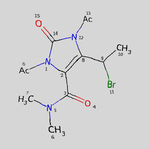 CC(=O)n1c(C(=O)N(C)C)c(C(C)Br)n(C(C)=O)c1=O